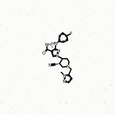 Cn1nccc1CN1CCC(n2cc(C(N)=O)c(Nc3ccc(F)cc3)n2)[C@H](C#N)C1